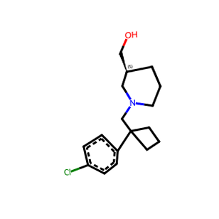 OC[C@H]1CCCN(CC2(c3ccc(Cl)cc3)CCC2)C1